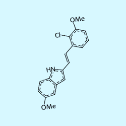 COc1ccc2[nH]c(/C=C/c3cccc(OC)c3Cl)cc2c1